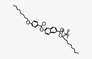 CCCCCCCCOc1ccc(C(=O)Oc2ccc3cc(C(=O)OC(CCCCCCCC)C(F)(F)F)ccc3c2)cc1